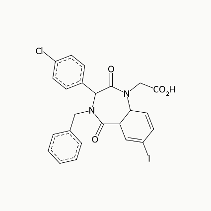 O=C(O)CN1C(=O)C(c2ccc(Cl)cc2)N(Cc2ccccc2)C(=O)C2C=C(I)C=CC21